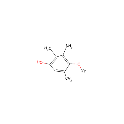 Cc1cc(O)c(C)c(C)c1OC(C)C